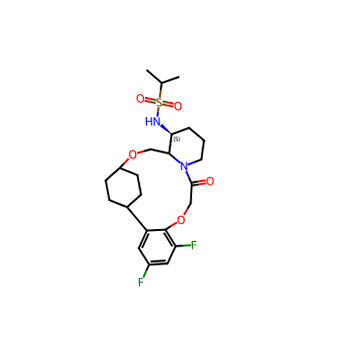 CC(C)S(=O)(=O)N[C@H]1CCCN2C(=O)COc3c(F)cc(F)cc3C3CCC(CC3)OCC12